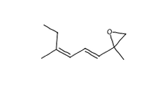 CCC(C)=CC=CC1(C)CO1